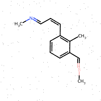 C/B=C/c1cccc(/C=C\C=N\C)c1C